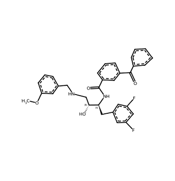 COc1cccc(CNC[C@@H](O)[C@H](Cc2cc(F)cc(F)c2)NC(=O)c2cccc(C(=O)c3ccccc3)c2)c1